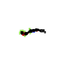 CCCCCC1CCC(c2ccc(-c3cc(F)c(/C=C/CCc4cc(F)c(C(F)(F)Oc5cc(F)c(F)c(F)c5)c(F)c4)c(F)c3)nc2)CC1